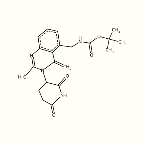 C=C1c2c(CNC(=O)OC(C)(C)C)cccc2N=C(C)N1C1CCC(=O)NC1=O